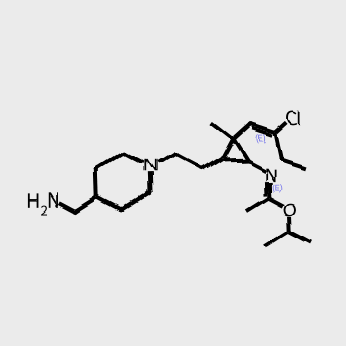 CC/C(Cl)=C\C1(C)C(CCN2CCC(CN)CC2)C1/N=C(\C)OC(C)C